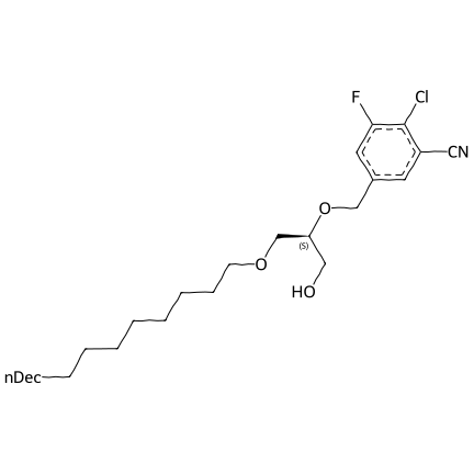 CCCCCCCCCCCCCCCCCCOC[C@H](CO)OCc1cc(F)c(Cl)c(C#N)c1